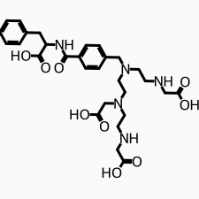 O=C(O)CNCCN(CCN(CCNCC(=O)O)Cc1ccc(C(=O)NC(Cc2ccccc2)C(=O)O)cc1)CC(=O)O